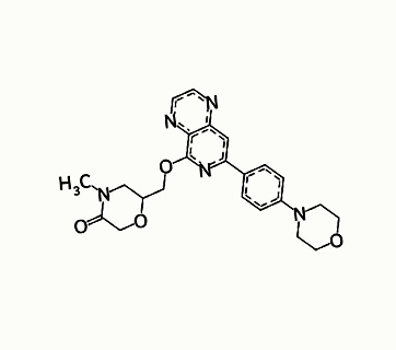 CN1CC(COc2nc(-c3ccc(N4CCOCC4)cc3)cc3nccnc23)OCC1=O